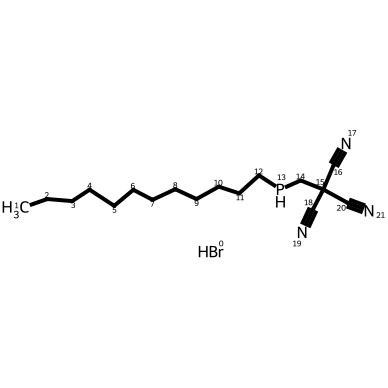 Br.CCCCCCCCCCCCPCC(C#N)(C#N)C#N